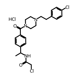 CC(NC(=O)CCl)c1ccc(C(=O)N2CCN(CCc3ccc(Cl)cc3)CC2)cc1.Cl